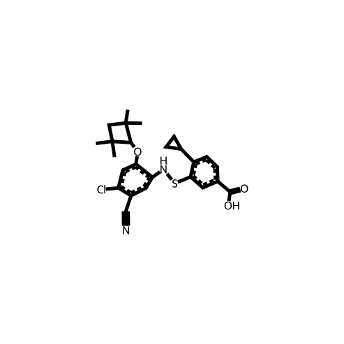 CC1(C)CC(C)(C)C1Oc1cc(Cl)c(C#N)cc1NSc1cc(C(=O)O)ccc1C1CC1